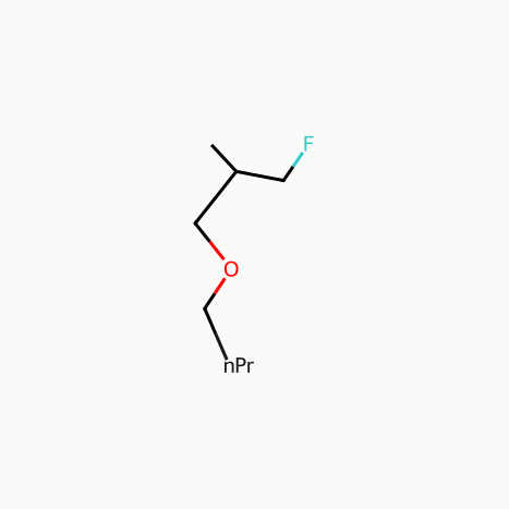 [CH2]CCCOCC(C)CF